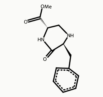 COC(=O)[C@@H]1CN[C@@H](Cc2ccccc2)C(=O)N1